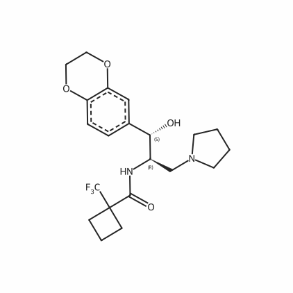 O=C(N[C@H](CN1CCCC1)[C@@H](O)c1ccc2c(c1)OCCO2)C1(C(F)(F)F)CCC1